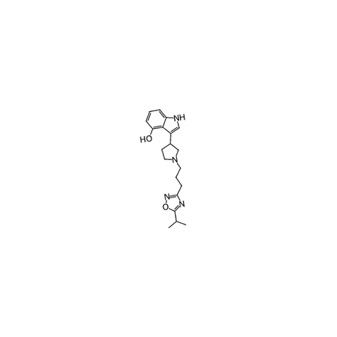 CC(C)c1nc(CCCN2CCC(c3c[nH]c4cccc(O)c34)C2)no1